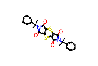 CC(C)(c1ccccc1)n1c(=O)c2sc3c(=O)n(C(C)(C)c4ccccc4)c(=O)c3sc2c1=O